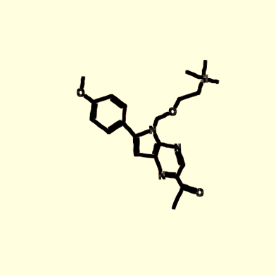 COc1ccc(-c2cc3nc(C(C)=O)cnc3n2COCC[Si](C)(C)C)cc1